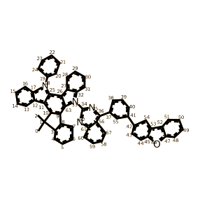 CC1(C)c2ccccc2-c2c1c1c3ccccc3n(-c3ccccc3)c1c1c3ccccc3n(-c3nc(-c4cccc(-c5ccc6oc7ccccc7c6c5)c4)c4ccccc4n3)c21